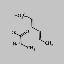 C/C=C/C=C/C(=O)O.CCC(=O)[O-].[Na+]